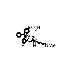 CNCCCCCNC(=O)COc1cc(F)ccc1-c1c(C2CCCCC2)c2ccc(C(=O)O)cc2n1C